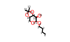 CCCCOC1OCC2OC(C)(C)OC2C1=O